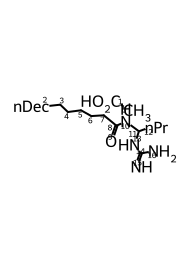 CC(=O)O.CCCCCCCCCCCCCCCC(=O)NC(CCC)NC(=N)N